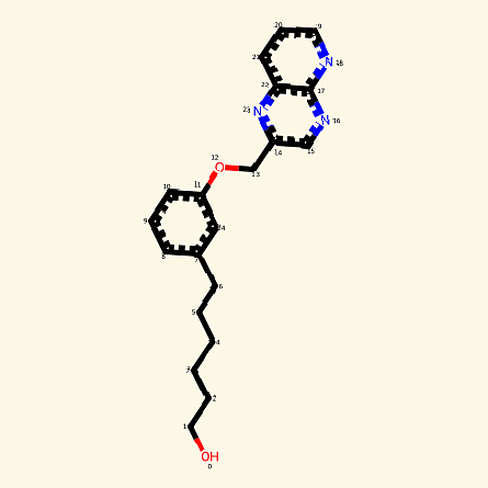 OCCCCCCc1cccc(OCc2cnc3ncccc3n2)c1